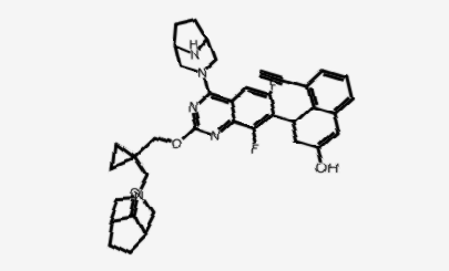 C#Cc1cccc2c1C(c1c(F)cc3c(N4CC5CCC(C4)N5)nc(OCC4(CN5CC6CCC(C5)C6=O)CC4)nc3c1F)CC(O)=C2